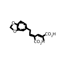 CC(=CC(=CCc1ccc2c(c1)OCO2)C(=O)O)C(=O)O